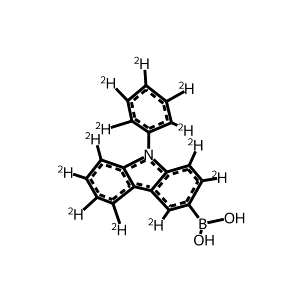 [2H]c1c([2H])c([2H])c(-n2c3c([2H])c([2H])c([2H])c([2H])c3c3c([2H])c(B(O)O)c([2H])c([2H])c32)c([2H])c1[2H]